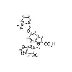 O=C(O)c1cc2cc(OCc3ccccc3C(F)(F)F)ccc2n1Cc1cc2c(cc1Cl)OCO2